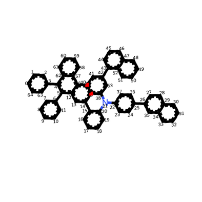 c1ccc(-c2c(-c3ccccc3)c3cc(-c4ccccc4N(c4ccc(-c5ccc6ccccc6c5)cc4)c4cccc(-c5cccc6ccccc56)c4)ccc3c3ccccc23)cc1